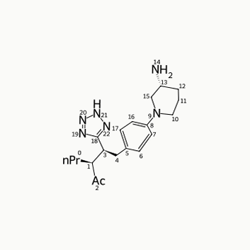 CCC[C@H](C(C)=O)[C@H](Cc1ccc(N2CCC[C@@H](N)C2)cc1)c1nn[nH]n1